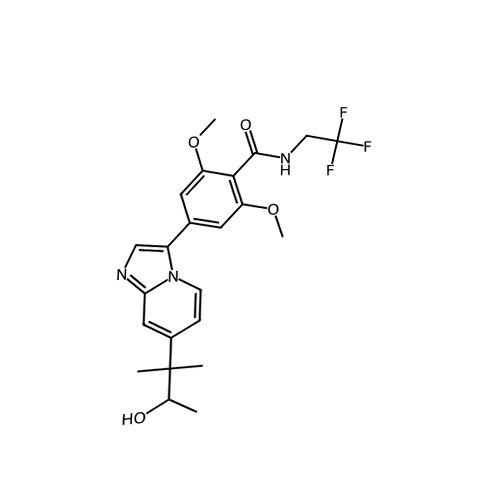 COc1cc(-c2cnc3cc(C(C)(C)C(C)O)ccn23)cc(OC)c1C(=O)NCC(F)(F)F